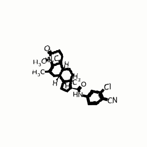 CC1=C2N(C)C(=O)CC[C@]2(C)[C@H]2CC[C@]3(C)[C@@H](C(=O)Nc4ccc(C#N)c(Cl)c4)CC[C@H]3[C@@H]2C1